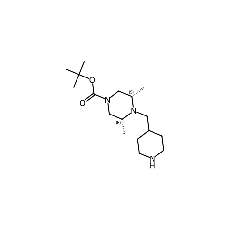 C[C@@H]1CN(C(=O)OC(C)(C)C)C[C@H](C)N1CC1CCNCC1